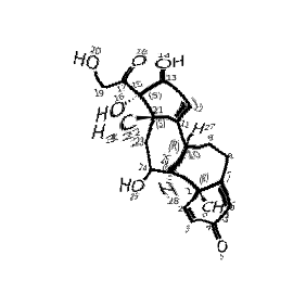 C[C@]12C=CC(=O)C=C1CC[C@H]1C3=CC(O)[C@](O)(C(=O)CO)[C@@]3(C)CC(O)[C@@H]12